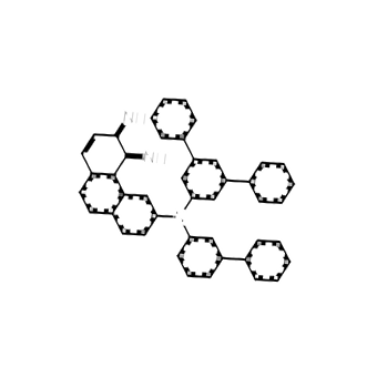 N=C1C=Cc2ccc3ccc(N(c4cccc(-c5ccccc5)c4)c4cc(-c5ccccc5)cc(-c5ccccc5)c4)cc3c2C1=N